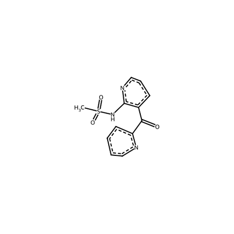 CS(=O)(=O)Nc1ncccc1C(=O)c1ccccn1